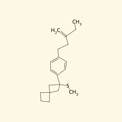 C=C(CC)CCc1ccc(C2(SC)CC3(CCC3)C2)cc1